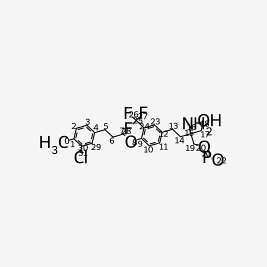 Cc1ccc(CCCOc2ccc(CCC(N)(CO)COP=O)cc2C(F)(F)F)cc1Cl